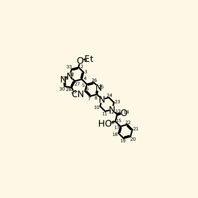 CCOc1cc(-c2ccc(N3CCN(C(=O)C(O)c4ccccc4)CC3)nc2)c2c(C#N)cnn2c1